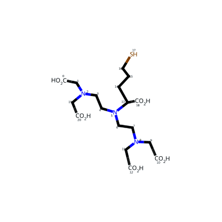 O=C(O)CN(CCN(CCN(CC(=O)O)CC(=O)O)C(CCCS)C(=O)O)CC(=O)O